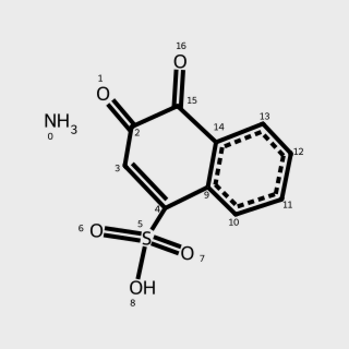 N.O=C1C=C(S(=O)(=O)O)c2ccccc2C1=O